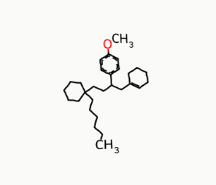 CCCCCCC1(CCC(CC2=CCCCC2)c2ccc(OC)cc2)CCCCC1